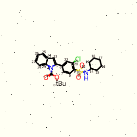 CC(C)(C)OC(=O)n1c(-c2ccc(S(=O)(=O)NC3CCCCC3)c(Cl)c2)cc2ccccc21